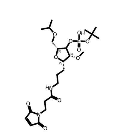 CO[C@H]1C(OP(=O)(O)OC(C)(C)C)[C@@H](COC(C)C)O[C@H]1CCCNC(=O)CCN1C(=O)C=CC1=O